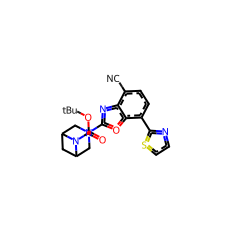 CC(C)(C)OC(=O)N1C2CC1CN(c1nc3c(C#N)ccc(-c4nccs4)c3o1)C2